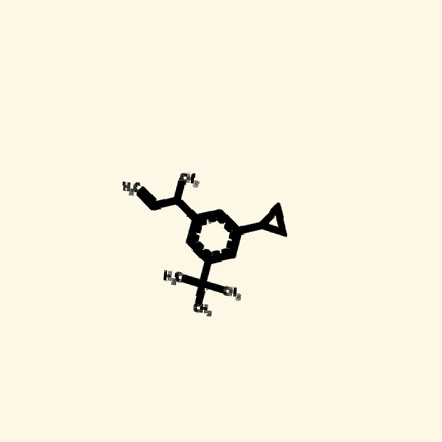 C=C[C](C)c1cc(C2CC2)cc(C(C)(C)C)c1